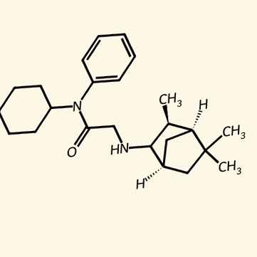 C[C@@H]1C(NCC(=O)N(c2ccccc2)C2CCCCC2)[C@H]2C[C@@H]1C(C)(C)C2